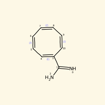 N=C(N)C1=C/C=C\C=C/C=C\1